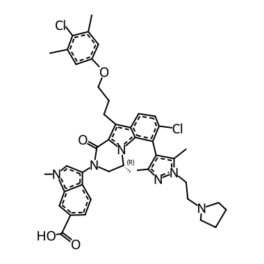 Cc1cc(OCCCc2c3n(c4c(-c5c(C)nn(CCN6CCCC6)c5C)c(Cl)ccc24)[C@H](C)CN(c2cn(C)c4cc(C(=O)O)ccc24)C3=O)cc(C)c1Cl